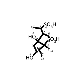 O=S(=O)(O)C(F)C(F)C(O)(CCO)C(F)(CF)S(=O)(=O)O